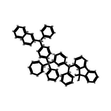 CC1(C)c2ccccc2-c2cccc(N(c3ccccc3)c3cccc([Si](C4=CCC=CC=C4)(c4ccccc4)c4ccc(N(c5ccccc5)c5ccc6ccccc6c5)cc4)c3)c21